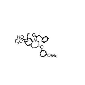 COc1cccc(O[C@H]2CCC3=CC4=CC(F)(C=C3N(C(=O)[C@H](C)c3ccccc3)C2)C4(O)C(F)(F)F)c1